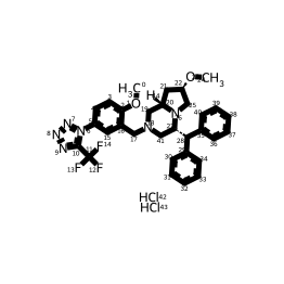 COc1ccc(-n2nnnc2C(F)(F)F)cc1CN1C[C@@H]2C[C@H](OC)CN2[C@H](C(c2ccccc2)c2ccccc2)C1.Cl.Cl